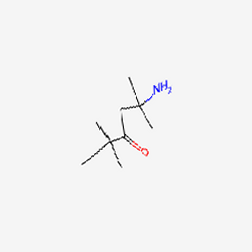 CC(C)(N)CC(=O)C(C)(C)C